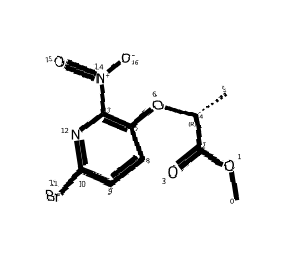 COC(=O)[C@@H](C)Oc1ccc(Br)nc1[N+](=O)[O-]